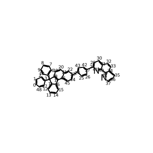 c1ccc(C2(c3ccccc3)c3ccccc3-c3c2ccc2cc(-c4ccc(-c5ccc6ccc7cccnc7c6n5)cc4)ccc32)cc1